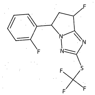 Fc1ccccc1C1CC(F)c2nc(SC(F)(F)F)nn21